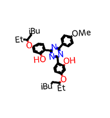 CCC(C)CC(CC)Oc1ccc(-c2nc(-c3ccc(OC)cc3)nc(-c3ccc(OC(CC)CC(C)CC)cc3O)n2)c(O)c1